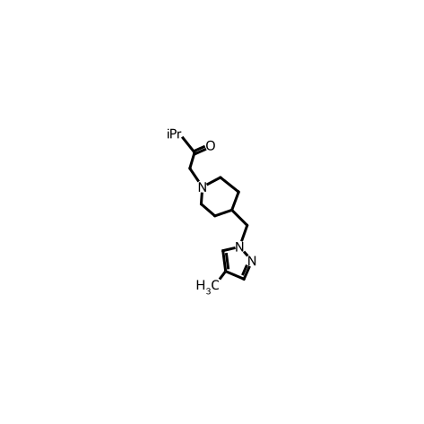 Cc1cnn(CC2CCN(CC(=O)C(C)C)CC2)c1